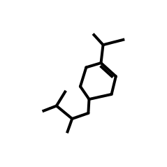 CC(C)C1=CCC(CC(C)C(C)C)CC1